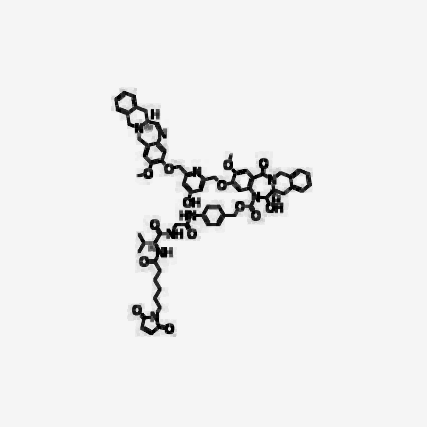 COc1cc2c(cc1OCc1cc(O)cc(COc3cc4c(cc3OC)C(=O)N3Cc5ccccc5C[C@H]3C(O)N4C(=O)OCc3ccc(NC(=O)CNC(=O)[C@@H](NC(=O)CCCCCN4C(=O)C=CC4=O)C(C)C)cc3)n1)N=C[C@@H]1Cc3ccccc3CN1C2